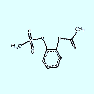 CC(=S)Oc1ccccc1OS(C)(=O)=O